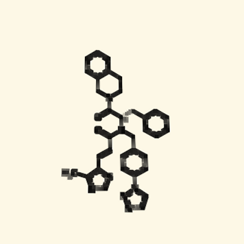 Cc1ncsc1C=CC(=O)N(Cc1ccc(-n2ccnn2)cc1)[C@@H](Cc1ccccc1)C(=O)N1CCc2ccccc2C1